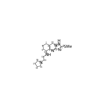 CSC1=NC2=NC3=C(CCCC3NCCN3CCCC3)CN2N1